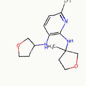 CC1(Nc2nc(C(F)(F)F)ccc2NC2CCOC2)CCOC1